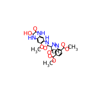 COC(=O)c1ccc(C(=O)OC)c(/N=N\C(C(C)=O)C(=O)Nc2cc3c(cc2OC)NC(O)C(=O)N3)c1